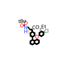 CCOC(=O)c1c(CNC(=O)OC(C)(C)C)sc2cc(-c3cccc4ccccc34)c(Oc3ccc(Cl)cc3)cc12